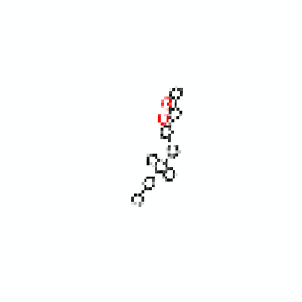 c1ccc(-c2ccc(-c3c4ccccc4c(-c4cccc(-c5ccc6oc7c(ccc8c9ccccc9oc87)c6c5)c4)c4ccccc34)cc2)cc1